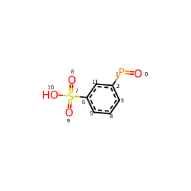 O=Pc1cccc(S(=O)(=O)O)c1